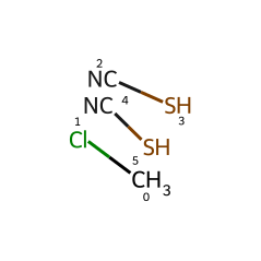 CCl.N#CS.N#CS